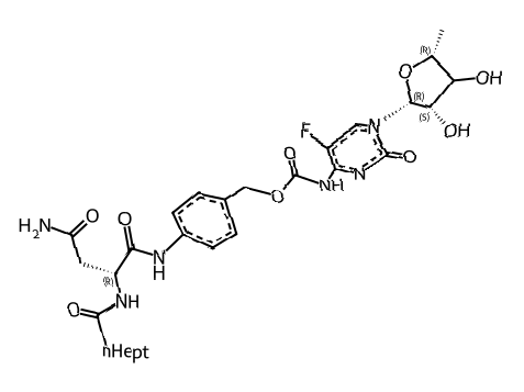 CCCCCCCC(=O)N[C@H](CC(N)=O)C(=O)Nc1ccc(COC(=O)Nc2nc(=O)n([C@@H]3O[C@H](C)C(O)[C@@H]3O)cc2F)cc1